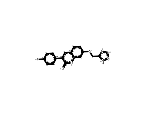 O=c1oc2cc(OCc3nnn[nH]3)ccc2cc1-c1ccc(F)cc1